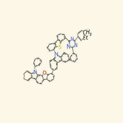 C/C=C\C(=C/CC)c1nc(-c2ccccc2)nc(-c2cccc3c2sc2c(-n4c5ccccc5c5cc(-c6cccc7c6oc6c7ccc7c8c(n(-c9ccccc9)c76)=CCCC=8)ccc54)cccc23)n1